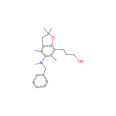 Cc1c(CCCO)c2c(c(C)c1N(C)Cc1ccccc1)CC(C)(C)O2